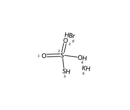 Br.O=S(=O)(O)S.[KH]